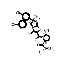 CC(C)C1=C(C(=O)N2[C@H](C#N)CC[C@H]2C(=O)N(C)C)SC2=N[C@@](C)(c3ccc(Cl)cc3)[C@@H](c3ccc(Cl)cc3)N21